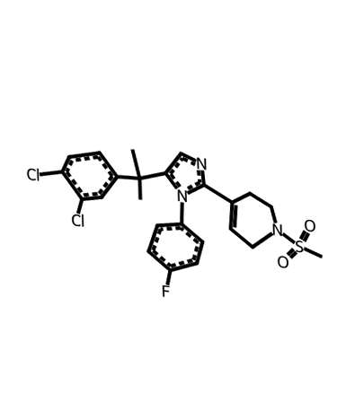 CC(C)(c1ccc(Cl)c(Cl)c1)c1cnc(C2=CCN(S(C)(=O)=O)CC2)n1-c1ccc(F)cc1